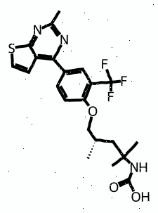 Cc1nc(-c2ccc(OC[C@@H](C)CC(C)(C)NC(=O)O)c(C(F)(F)F)c2)c2ccsc2n1